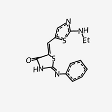 CCNc1ncc(C=C2SC(=Nc3ccccc3)NC2=O)s1